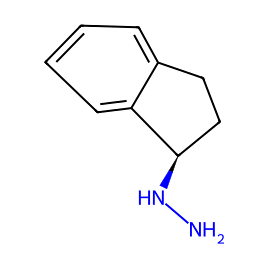 NN[C@@H]1CCc2ccccc21